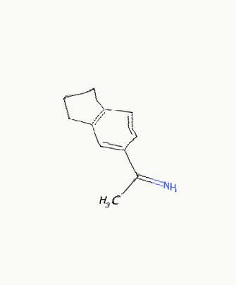 CC(=N)c1ccc2c(c1)CCC2